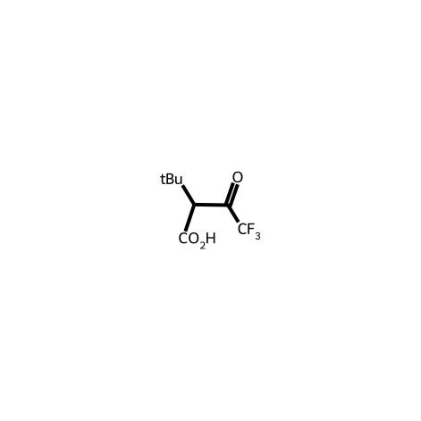 CC(C)(C)C(C(=O)O)C(=O)C(F)(F)F